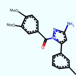 COc1ccc(C(=O)n2nc(N)cc2-c2cccc(C)c2)cc1OC